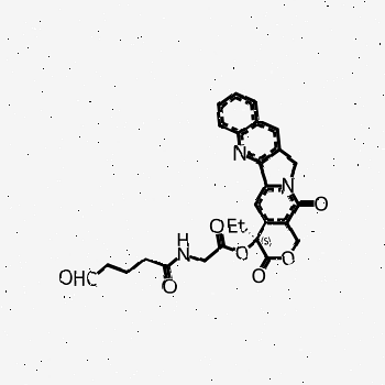 CC[C@@]1(OC(=O)CNC(=O)CCCC=O)C(=O)OCc2c1cc1n(c2=O)Cc2cc3ccccc3nc2-1